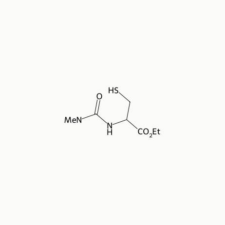 CCOC(=O)C(CS)NC(=O)NC